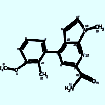 COc1cccc(-c2cc(C(N)=O)nc3c2ccn3C)c1C